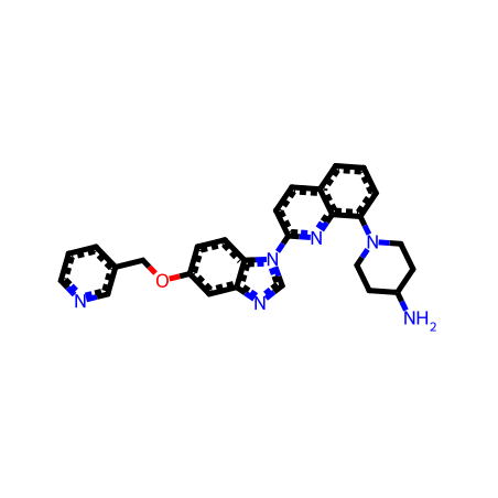 NC1CCN(c2cccc3ccc(-n4cnc5cc(OCc6cccnc6)ccc54)nc23)CC1